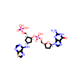 Nc1nc2c(ncn2[C@H]2CC[C@@H](COP(=O)(O)O[C@H]3C[C@H](Nc4ncnc5scnc45)C[C@@H]3COP(=O)(O)O)O2)c(=O)[nH]1